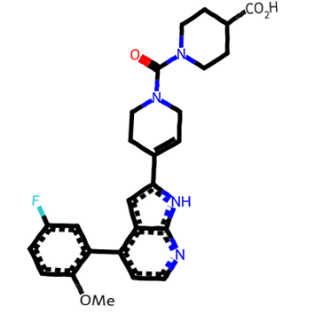 COc1ccc(F)cc1-c1ccnc2[nH]c(C3=CCN(C(=O)N4CCC(C(=O)O)CC4)CC3)cc12